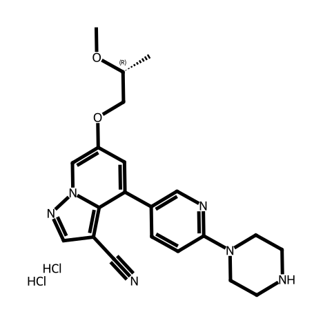 CO[C@H](C)COc1cc(-c2ccc(N3CCNCC3)nc2)c2c(C#N)cnn2c1.Cl.Cl